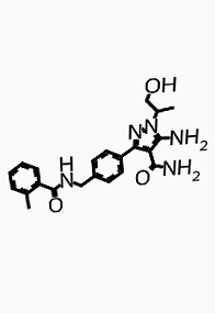 Cc1ccccc1C(=O)NCc1ccc(-c2nn(C(C)CO)c(N)c2C(N)=O)cc1